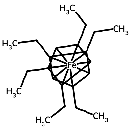 CC[C]12[CH]3[C]4(CC)[C]5(CC)[CH]1[Fe]32451678[CH]2[C]1(CC)[CH]6[C]7(CC)[C]28CC